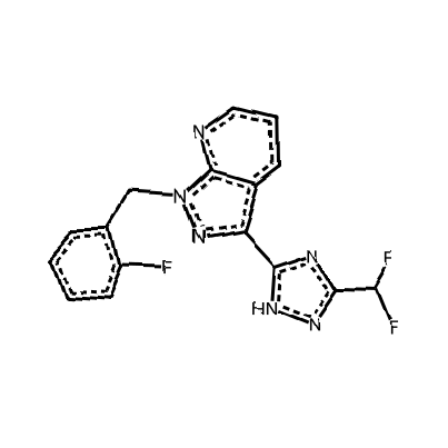 Fc1ccccc1Cn1nc(-c2nc(C(F)F)n[nH]2)c2cccnc21